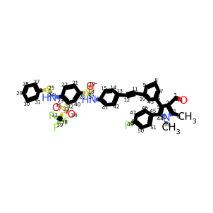 Cc1c(C=O)c(-c2cccc(C#Cc3ccc(N[S+]([O-])c4ccc(NSc5ccccc5)c(S(=O)(=O)C(F)(F)F)c4)cc3)c2)c(-c2ccc(F)cc2)n1C